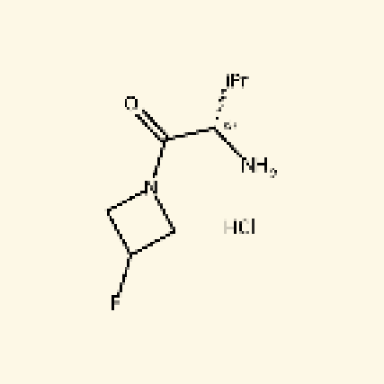 CC(C)[C@H](N)C(=O)N1CC(F)C1.Cl